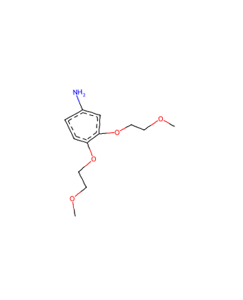 COCCOc1ccc(N)cc1OCCOC